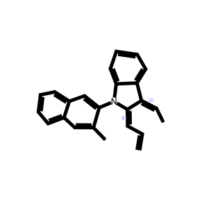 C=C/C=c1\c(=C/C)c2ccccc2n1-c1cc2ccccc2cc1C